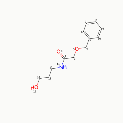 O=C(COCc1ccccc1)NCCCO